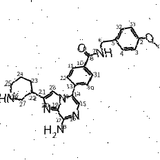 COc1ccc(CNC(=O)c2ccc(-c3cnc(N)c4nc(C5CCCNC5)cn34)cc2)cc1